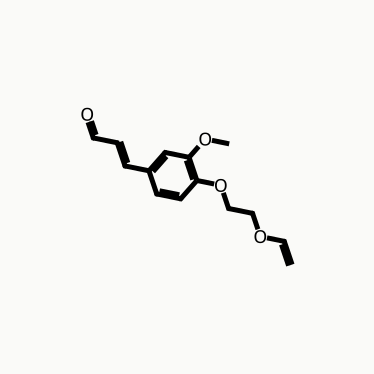 C=COCCOc1ccc(/C=C/C=O)cc1OC